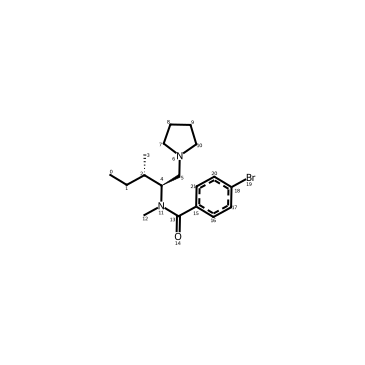 CC[C@H](C)[C@@H](CN1CCCC1)N(C)C(=O)c1ccc(Br)cc1